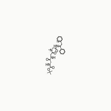 CN(CC(=O)N[C@@H](Cc1ccccn1)c1ccccc1)C(=O)CNC(=O)CNC(=O)OC(C)(C)C